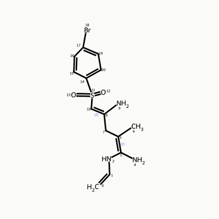 C=CN/C(N)=C(/C)C/C(N)=C/S(=O)(=O)c1ccc(Br)cc1